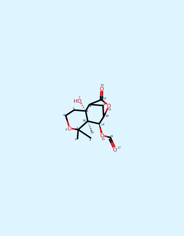 CC1(C)OCC[C@@]2(O)C3CC(OC3=O)[C@@H](OC=O)[C@@]12C